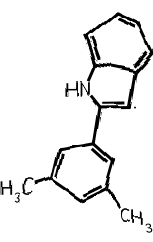 Cc1cc(C)cc(-c2[c]c3ccccc3[nH]2)c1